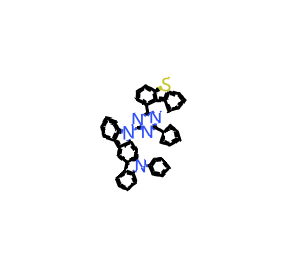 c1ccc(-c2nc(-c3cccc4sc5ccccc5c34)nc(-n3c4ccccc4c4cc5c6ccccc6n(-c6ccccc6)c5cc43)n2)cc1